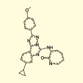 COc1ccc(-c2nc3c4ccc(C5CC5)cc4nc(Nc4ccccnc4=O)n3n2)cc1